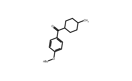 CCCCOc1ccc(C(=O)C2CCC(C)CC2)cc1